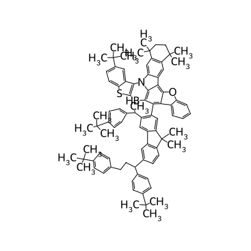 CC(c1ccc(C(C)(C)C)cc1)c1cc2c(cc1-c1c3c4c(c5cc6c(cc5n4-c4c(sc5ccc(C(C)(C)C)cc45)B3)C(C)(C)CCC6(C)C)c3oc4ccccc4c13)C(C)(C)c1ccc(C(CCc3ccc(C(C)(C)C)cc3)c3ccc(C(C)(C)C)cc3)cc1-2